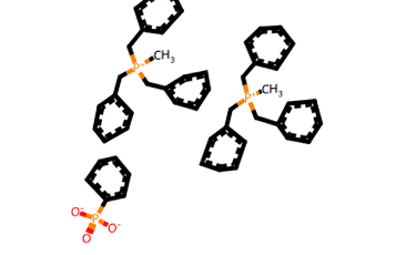 C[P+](Cc1ccccc1)(Cc1ccccc1)Cc1ccccc1.C[P+](Cc1ccccc1)(Cc1ccccc1)Cc1ccccc1.O=P([O-])([O-])c1ccccc1